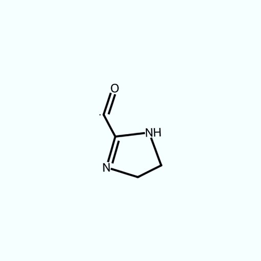 O=[C]C1=NCCN1